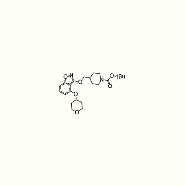 CC(C)(C)OC(=O)N1CCC(COc2noc3cccc(OC4CCOCC4)c23)CC1